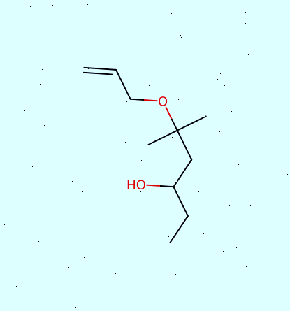 C=CCOC(C)(C)CC(O)CC